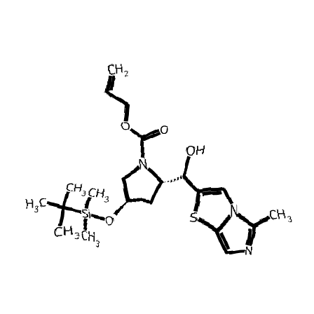 C=CCOC(=O)N1C[C@H](O[Si](C)(C)C(C)(C)C)C[C@H]1C(O)c1cn2c(C)ncc2s1